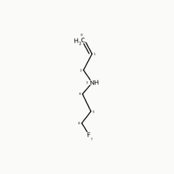 C=CCNCCCF